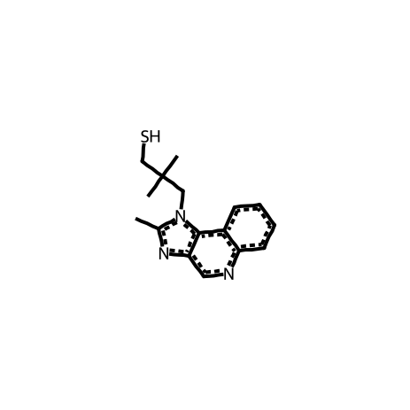 Cc1nc2cnc3ccccc3c2n1CC(C)(C)CS